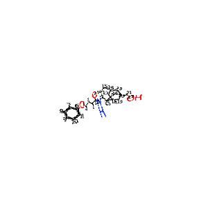 O=C(CCCOc1ccccc1)NC1CCC2CC3CC(CO)(C2)CC31